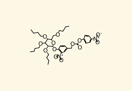 CCCCOCC1O[C@@H](Oc2ccc(COC(=O)Oc3ccc([N+](=O)[O-])cc3)cc2[N+](=O)[O-])[C@@H](OCCCC)C(OCCCC)[C@H]1OCCCC